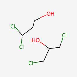 OC(CCl)CCl.OCCC(Cl)Cl